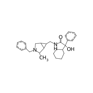 CC1C2C(CNC(=O)C(O)(c3ccccc3)C3CCCCC3)C2CN1Cc1ccccc1